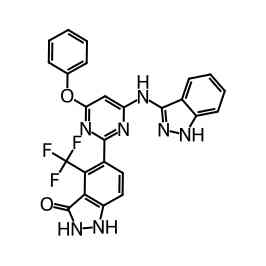 O=c1[nH][nH]c2ccc(-c3nc(Nc4n[nH]c5ccccc45)cc(Oc4ccccc4)n3)c(C(F)(F)F)c12